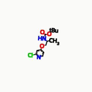 CC(COc1ccnc(Cl)c1)NC(=O)OC(C)(C)C